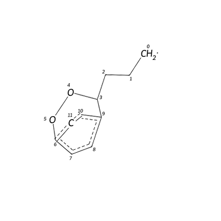 [CH2]CCC1OOc2ccc1cc2